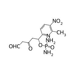 Cc1nc(C(CC(=O)CC=O)OP(N)(N)=O)ccc1[N+](=O)[O-]